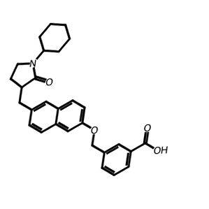 O=C(O)c1cccc(COc2ccc3cc(CC4CCN(C5CCCCC5)C4=O)ccc3c2)c1